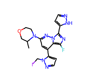 CC1COCCN1c1cc(-c2ccnn2CI)c2c(F)nc(-c3ccn[nH]3)n2n1